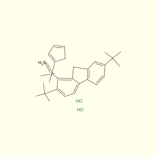 CC(C)(C)c1ccc2c(c1)Cc1c-2ccc(C(C)(C)C)[c]1[Zr]([CH3])([CH3])(=[SiH2])[C]1=CC=CC1.Cl.Cl